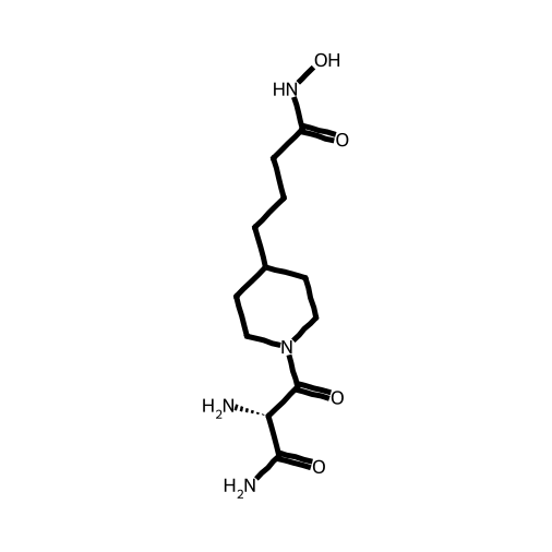 NC(=O)[C@H](N)C(=O)N1CCC(CCCC(=O)NO)CC1